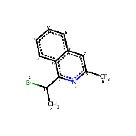 CC(Br)c1nc(C(F)(F)F)cc2ccccc12